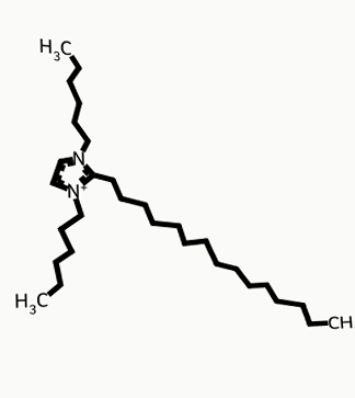 CCCCCCCCCCCCCCCc1n(CCCCCC)cc[n+]1CCCCCC